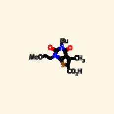 CCC(C)n1c(=O)c2c(C)c(C(=O)O)sc2n(CCOC)c1=O